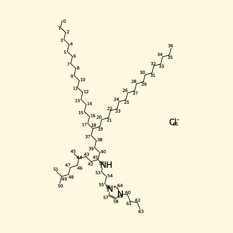 CCCCCCCCCCCCCCCCCCC(CCCCCCCCCCCCCCCCCC)CCCCC(CCC(C)CCCC(C)C)NCCC[n+]1ccn(CCCC)c1.[Cl-]